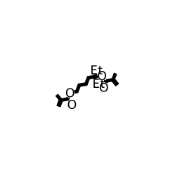 C=C(C)C(=O)OCCCCC(CC)(CC)OC(=O)C(=C)C